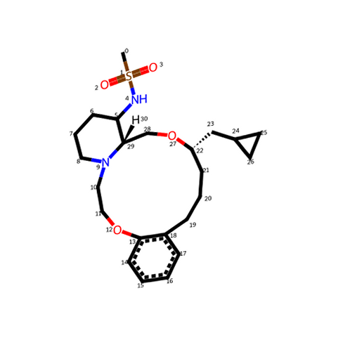 CS(=O)(=O)NC1CCCN2CCOc3ccccc3CCC[C@@H](CC3CC3)OC[C@@H]12